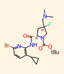 CN(C)C[C@@]1(F)C[C@@H](C(=O)Nc2nc(Br)ccc2C2CC2)N(C(=O)OC(C)(C)C)C1